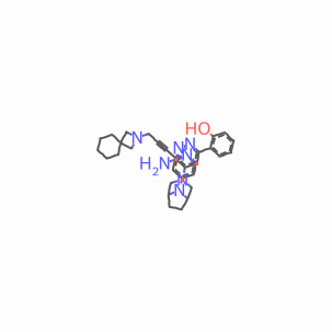 Nc1nnc(-c2ccccc2O)cc1N1CC2CCC(C1)N2c1ccnc(C#CCN2CC3(CCCCC3)C2)c1